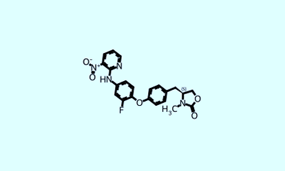 CN1C(=O)OC[C@@H]1Cc1ccc(Oc2ccc(Nc3ncccc3[N+](=O)[O-])cc2F)cc1